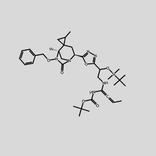 CC=C=C(NCC(O[Si](C)(C)C(C)(C)C)c1nnc([C@@H]2CC3(CC3C)[C@H]3CN2C(=O)N3OCc2ccccc2)o1)NC(=O)OC(C)(C)C